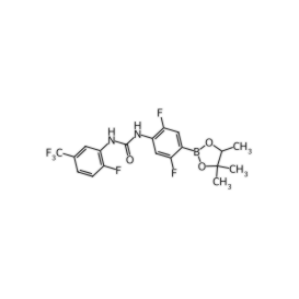 CC1OB(c2cc(F)c(NC(=O)Nc3cc(C(F)(F)F)ccc3F)cc2F)OC1(C)C